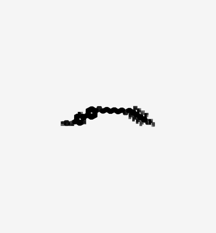 CCCCCCCCc1cnc(-c2ccc(OCCCCCCOCC(F)(F)C(F)(F)C(F)(F)C(F)(F)C(F)(F)F)cc2)nc1